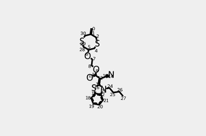 C=C1CSCC(OCCOC(=O)/C(C#N)=C2\Sc3ccccc3N2CCCC)CSC1